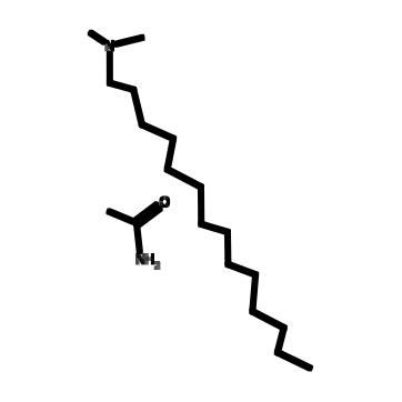 CC(N)=O.CCCCCCCCCCCCCCN(C)C